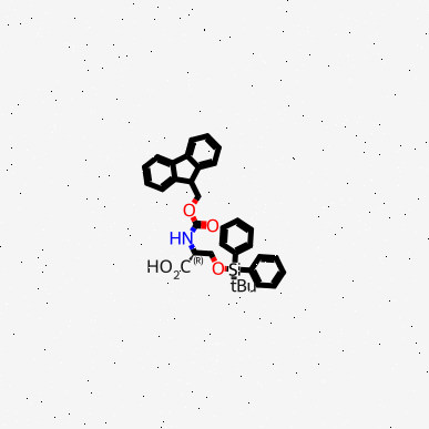 CC(C)(C)[Si](OC[C@@H](NC(=O)OCC1c2ccccc2-c2ccccc21)C(=O)O)(c1ccccc1)c1ccccc1